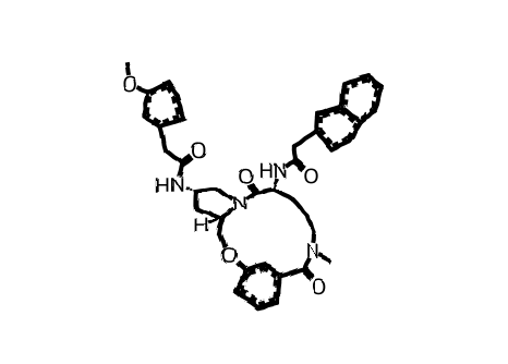 COc1cccc(CC(=O)N[C@H]2C[C@H]3COc4cccc(c4)C(=O)N(C)CCC[C@H](NC(=O)Cc4ccc5ccccc5c4)C(=O)N3C2)c1